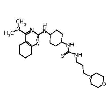 CN(C)c1nc(NC2CCC(NC(=S)NCCCN3CCOCC3)CC2)nc2c1CCCC2